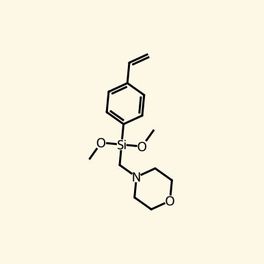 C=Cc1ccc([Si](CN2CCOCC2)(OC)OC)cc1